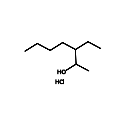 CCCCC(CC)C(C)O.Cl